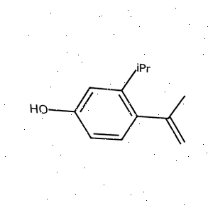 C=C(C)c1ccc(O)cc1C(C)C